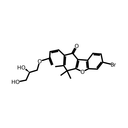 C=C(/C=C\C1=C(C)C(C)(C)c2oc3cc(Br)ccc3c2C1=O)OC[C@H](O)CO